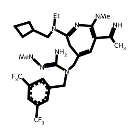 CCN(CC1CCC1)C1=NC(NC)=C(C(C)=N)C=C(CN(Cc2cc(C(F)(F)F)cc(C(F)(F)F)c2)/C(N)=N/NC)C1